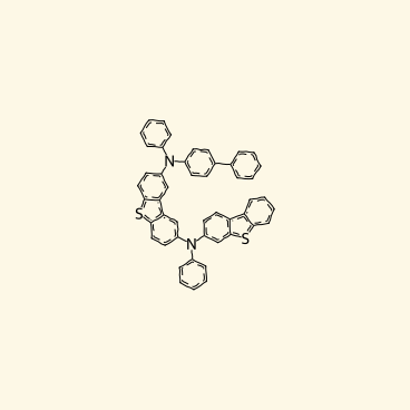 c1ccc(-c2ccc(N(c3ccccc3)c3ccc4sc5ccc(N(c6ccccc6)c6ccc7c(c6)sc6ccccc67)cc5c4c3)cc2)cc1